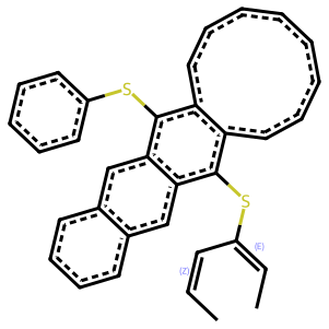 C/C=C\C(=C/C)Sc1c2ccccccccc2c(Sc2ccccc2)c2cc3ccccc3cc12